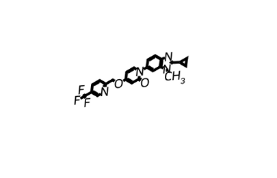 Cn1c(C2CC2)nc2ccc(-n3ccc(OCc4ccc(C(F)(F)F)cn4)cc3=O)cc21